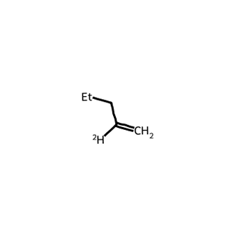 [2H]C(=C)CCC